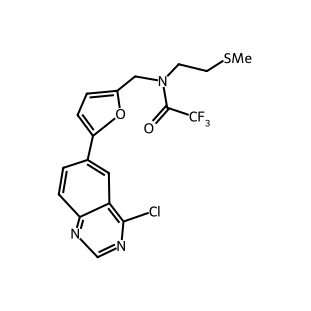 CSCCN(Cc1ccc(-c2ccc3ncnc(Cl)c3c2)o1)C(=O)C(F)(F)F